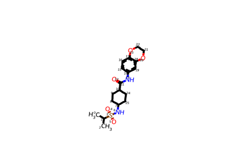 CC(C)S(=O)(=O)NC1CCC(C(=O)Nc2ccc3c(c2)OCCO3)CC1